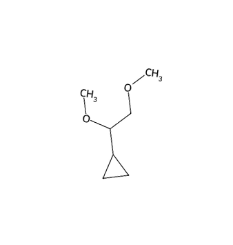 COCC(OC)C1CC1